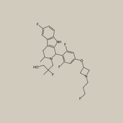 CC1Cc2c([nH]c3ccc(F)cc23)C(c2c(F)cc(OC3CN(CCCF)C3)cc2F)N1CC(C)(F)CO